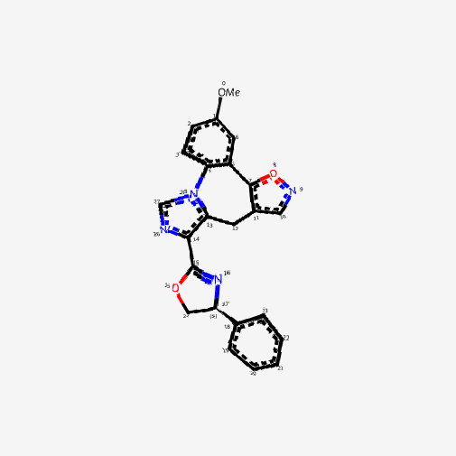 COc1ccc2c(c1)-c1oncc1Cc1c(C3=N[C@@H](c4ccccc4)CO3)ncn1-2